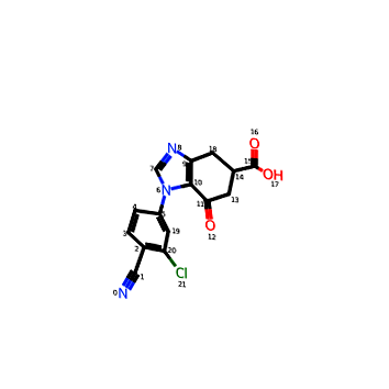 N#Cc1ccc(-n2cnc3c2C(=O)CC(C(=O)O)C3)cc1Cl